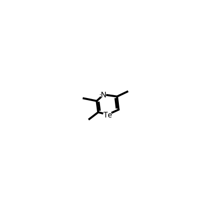 CC1=C[Te]C(C)=C(C)[N]1